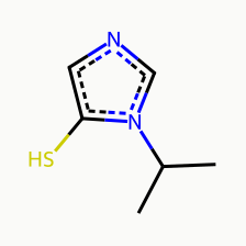 CC(C)n1cncc1S